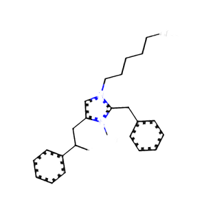 CCCCCCCCCCCCCCCn1cc(CC(C)c2ccccc2)[n+](CCC)c1Cc1ccccc1